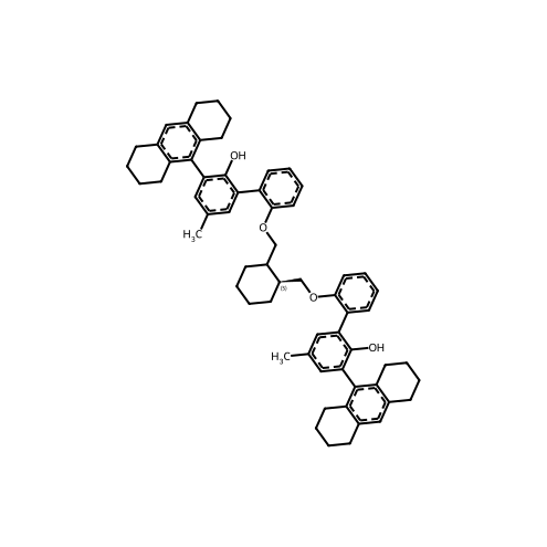 Cc1cc(-c2ccccc2OCC2CCCC[C@@H]2COc2ccccc2-c2cc(C)cc(-c3c4c(cc5c3CCCC5)CCCC4)c2O)c(O)c(-c2c3c(cc4c2CCCC4)CCCC3)c1